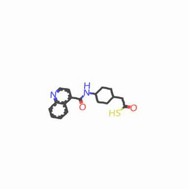 O=C(S)CC1CCC(NC(=O)c2ccnc3ccccc23)CC1